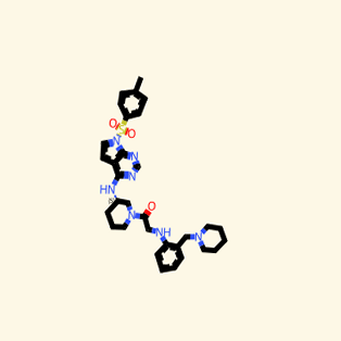 Cc1ccc(S(=O)(=O)n2ccc3c(N[C@H]4CCCN(C(=O)CNc5ccccc5CN5CCCCC5)C4)ncnc32)cc1